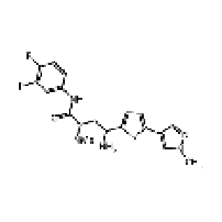 CNC(CC(N)c1ccc(-c2cnn(C)c2)s1)C(=O)Nc1ccc(F)c(F)c1